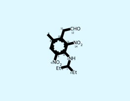 CCC(CC)Nc1c([N+](=O)[O-])cc(C)c(CC=O)c1[N+](=O)[O-]